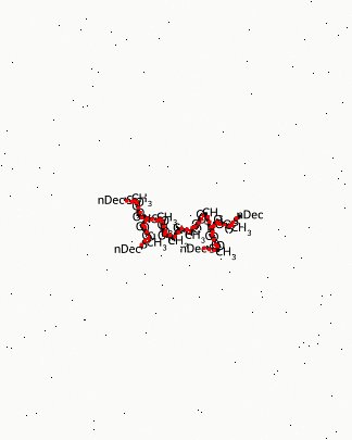 CCCCCCCCCCCCSCC(C)C(=O)OCCOC(=O)CCN(CCSCC(C)C(=O)OCCOC(=O)CCN(C)CCCN(C)CCCN(C)CCC(=O)OCCOC(=O)C(C)CSCCN(CCC(=O)OCCOC(=O)C(C)CSCCCCCCCCCCCC)CCC(=O)OCCOC(=O)C(C)CSCCCCCCCCCCCC)CCC(=O)OCCOC(=O)C(C)CSCCCCCCCCCCCC